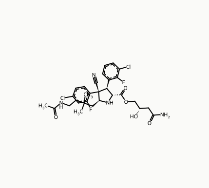 CC(=O)NCCC(C)(C)C[C@@H]1N[C@@H](C(=O)OC[C@@H](O)CC(N)=O)[C@H](c2cccc(Cl)c2F)[C@@]1(C#N)c1ccc(Cl)cc1F